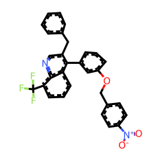 O=[N+]([O-])c1ccc(COc2cccc(-c3c(Cc4ccccc4)cnc4c(C(F)(F)F)cccc34)c2)cc1